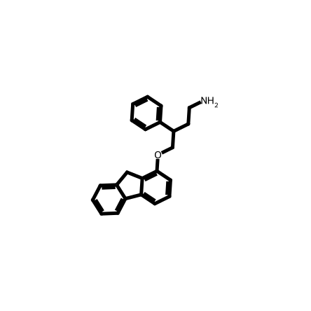 NCCC(COc1cccc2c1Cc1ccccc1-2)c1ccccc1